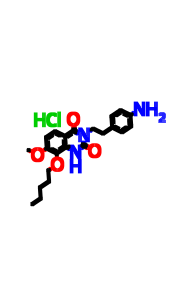 CCCCCOc1c(OC)ccc2c(=O)n(CCc3ccc(N)cc3)c(=O)[nH]c12.Cl